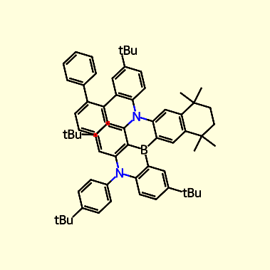 CC(C)(C)c1ccc(N2c3ccc(C(C)(C)C)cc3B3c4cc5c(cc4N(c4ccc(C(C)(C)C)cc4-c4ccccc4-c4ccccc4)c4cc(C(C)(C)C)cc2c43)C(C)(C)CCC5(C)C)cc1